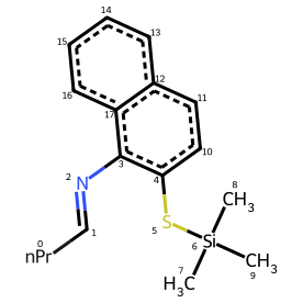 CCCC=Nc1c(S[Si](C)(C)C)ccc2ccccc12